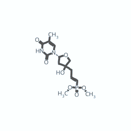 COP(=O)(/C=C/CC1(O)CO[C@@H](n2cc(C)c(=O)[nH]c2=O)C1)OC